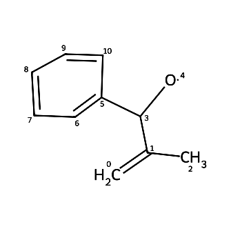 C=C(C)C([O])c1ccccc1